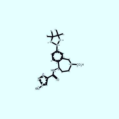 CC(C)(C)n1cc(C(=O)N[C@@H]2CCN(C(=O)O)Cc3cc(B4OC(C)(C)C(C)(C)O4)ccc32)nn1